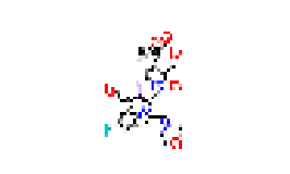 CC[C@@]1(O)C(=O)OCc2c1ccn(CC1=C(I)C(=C=O)c3cc(F)cc4c3N1C(CN1CCOCC1)C4)c2=O